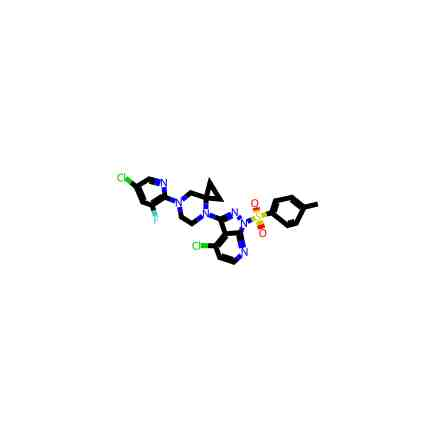 Cc1ccc(S(=O)(=O)n2nc(N3CCN(c4ncc(Cl)cc4F)CC34CC4)c3c(Cl)ccnc32)cc1